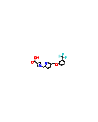 O=C(O)C1CN(Cc2ccc(COc3cccc(C(F)(F)F)c3)cn2)C1